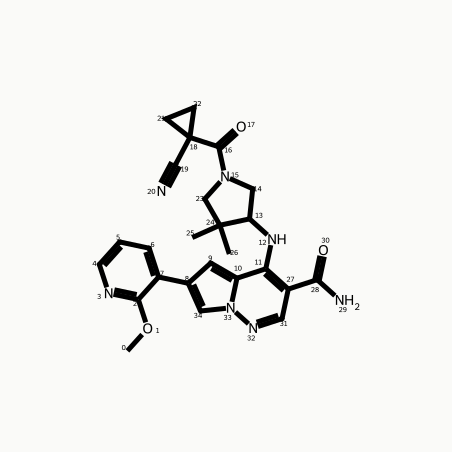 COc1ncccc1-c1cc2c(NC3CN(C(=O)C4(C#N)CC4)CC3(C)C)c(C(N)=O)cnn2c1